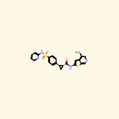 Cc1cncc2sc(NC(=O)[C@@H]3C[C@H]3c3ccc(S(=O)(=O)Nc4ccccn4)cc3)cc12